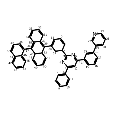 C1=CC(c2nc(-c3ccccc3)cc(-c3cccc(-c4cccnc4)c3)n2)CC(C2=c3ccccc3=C(c3cccc4ccccc34)C3C=CC=CC23)=C1